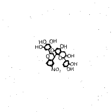 O=[N+]([O-])c1ccc2c(c1)C1CC(c3cc(O)c(O)c(O)c3)(O2)Oc2cc(O)c3c(c21)O[C@H](c1ccc(O)c(O)c1)[C@@H](O)C3